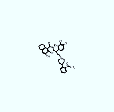 CCc1c(C#N)cc2c(c1C(=O)N(C)CC(CCN1CCC(c3ccccc3[S+](C)[O-])CC1)c1ccc(Cl)c(Cl)c1)CCCC2